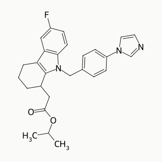 CC(C)OC(=O)CC1CCCc2c1n(Cc1ccc(-n3ccnc3)cc1)c1ccc(F)cc21